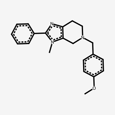 COc1ccc(CN2CCc3nc(-c4ccccc4)n(C)c3C2)cc1